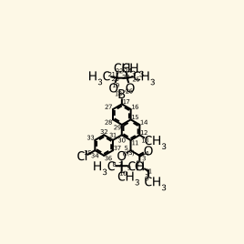 CCOC(=O)[C@@H](OC(C)(C)C)c1c(C)cc2cc(B3OC(C)(C)C(C)(C)O3)ccc2c1-c1ccc(Cl)cc1